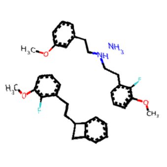 COc1cccc(CCC2Cc3ccccc32)c1F.COc1cccc(CCNCCc2cccc(OC)c2F)c1.N